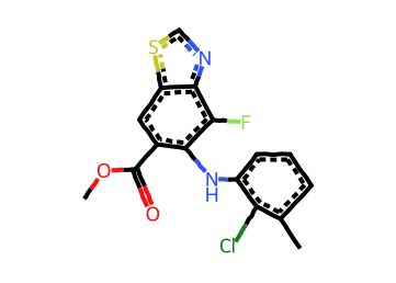 COC(=O)c1cc2scnc2c(F)c1Nc1cccc(C)c1Cl